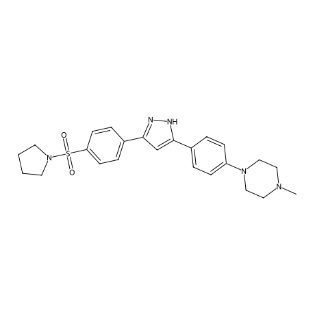 CN1CCN(c2ccc(-c3cc(-c4ccc(S(=O)(=O)N5CCCC5)cc4)n[nH]3)cc2)CC1